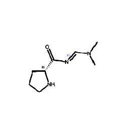 CN(C)/C=N/C(=O)[C@H]1CCCN1